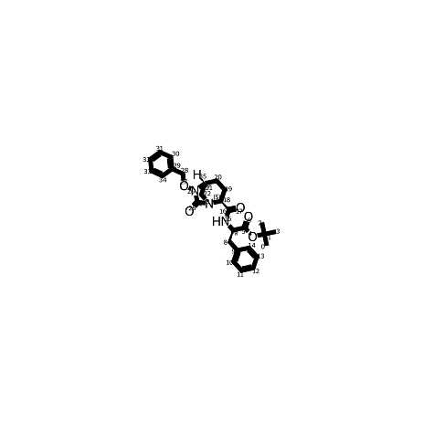 CC(C)(C)OC(=O)[C@@H](Cc1ccccc1)NC(=O)[C@@H]1CC[C@H]2CN1C(=O)N2OCc1ccccc1